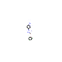 CCn1c(-c2ccc3[nH]cnc3c2)nnc1C(C)(C)Oc1c(F)cc(Cl)cc1F